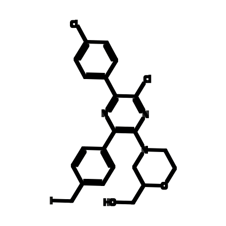 OCC1CN(c2nc(Cl)c(-c3ccc(Cl)cc3)nc2-c2ccc(CI)cc2)CCO1